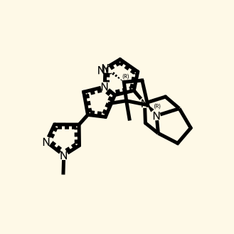 Cn1cc(-c2cc3c(N4CC5CCC(C4)N5[C@@H]4C[C@@H](C#N)C4(C)C)ccnn3c2)cn1